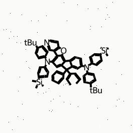 C/C=C\C(=C/C)C1(c2ccccc2)c2cc(N(c3ccc(C(C)(C)C)cc3)c3ccc([Si](C)(C)C)cc3)ccc2-c2c1cc(N(c1ccc(C(C)(C)C)cc1)c1ccc([Si](C)(C)C)cc1)c1c2oc2ccncc21